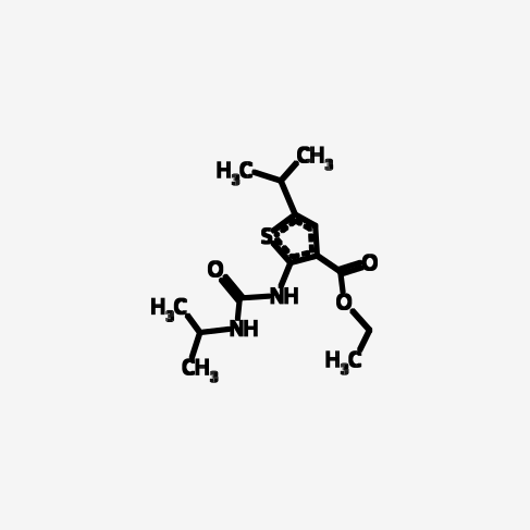 CCOC(=O)c1cc(C(C)C)sc1NC(=O)NC(C)C